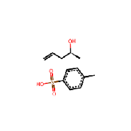 C=CC[C@H](C)O.Cc1ccc(S(=O)(=O)O)cc1